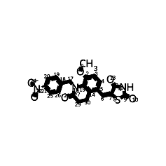 COc1ccc(/C=C2/SC(=O)NC2=O)c2c1N(Cc1ccc([N+](=O)[O-])cc1)C(=O)CC2